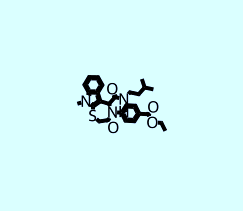 CCOC(=O)c1ccc(N2C(=O)CSc3c(c4ccccc4n3C)C2C(=O)NCCC(C)C)cc1